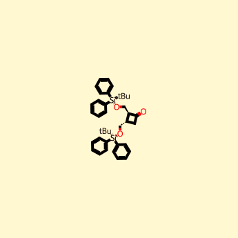 CC(C)(C)[Si](OC[C@H]1CC(=O)[C@@H]1CO[Si](c1ccccc1)(c1ccccc1)C(C)(C)C)(c1ccccc1)c1ccccc1